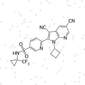 N#Cc1cnc2c(c1)c(C#N)c(-c1ccc(S(=O)(=O)NC3(C(F)(F)F)CC3)cn1)n2C1CCC1